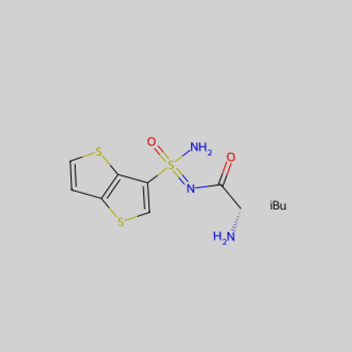 CC[C@H](C)[C@H](N)C(=O)N=S(N)(=O)c1csc2ccsc12